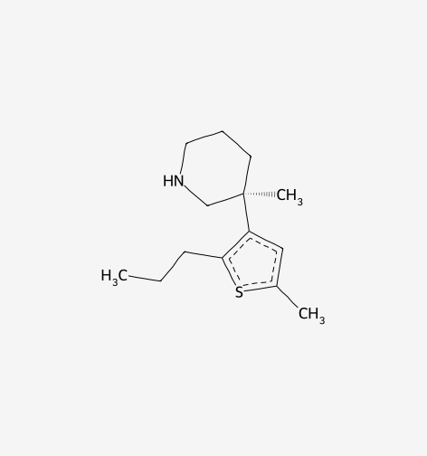 CCCc1sc(C)cc1[C@]1(C)CCCNC1